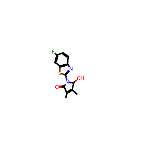 CC1=C(C)C(O)N(c2nc3ccc(F)cc3s2)C1=O